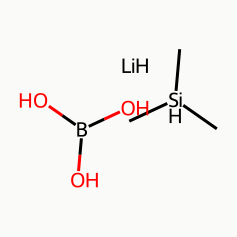 C[SiH](C)C.OB(O)O.[LiH]